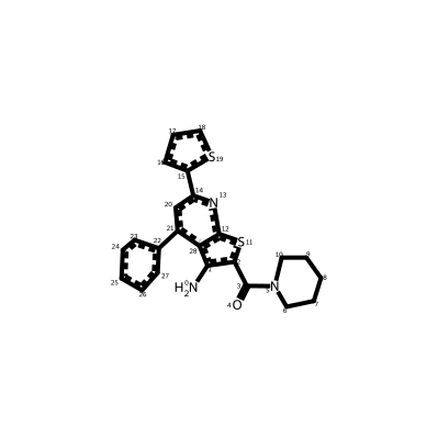 Nc1c(C(=O)N2CCCCC2)sc2nc(-c3cccs3)cc(-c3ccccc3)c12